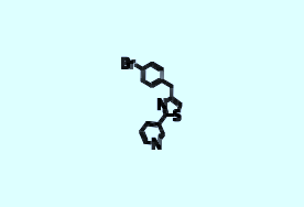 Brc1ccc(Cc2csc(-c3cccnc3)n2)cc1